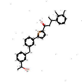 Cc1cccc(C(C)CC(=O)c2ccc(-c3cccc(Cc4cccc(C(C)O)c4)c3)s2)c1C